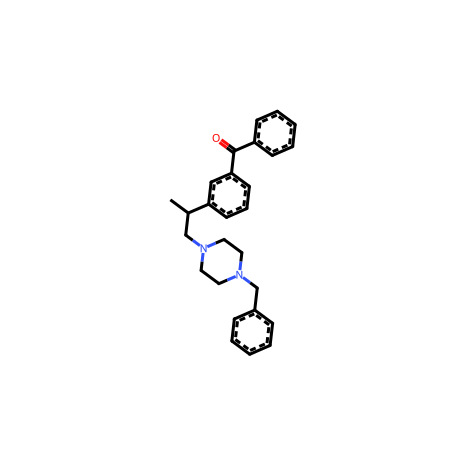 CC(CN1CCN(Cc2ccccc2)CC1)c1cccc(C(=O)c2ccccc2)c1